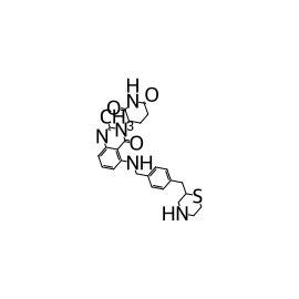 Cc1nc2cccc(NCc3ccc(CC4CNCCS4)cc3)c2c(=O)n1C1CCC(=O)NC1=O